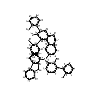 Cc1ccccc1-c1cccc(N(c2ccc3ccc4cc(-c5ccccc5C)c(C)c(-c5ccccc5C)c4c3c2)c2cccc3c2Cc2ccccc2-3)c1C